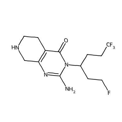 Nc1nc2c(c(=O)n1C(CCF)CCC(F)(F)F)CCNC2